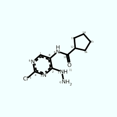 NNc1nc(Cl)ncc1NC(=O)C1CCCC1